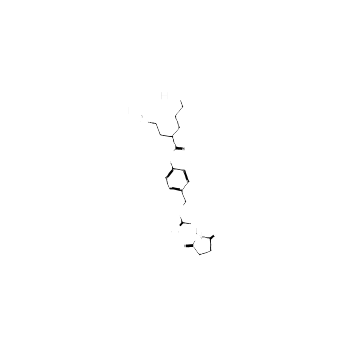 CCCCC(CCOC)C(=O)Oc1ccc(COC(=O)ON2C(=O)CCC2=O)cc1